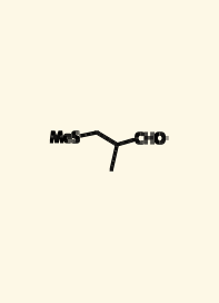 CSCC(C)[C]=O